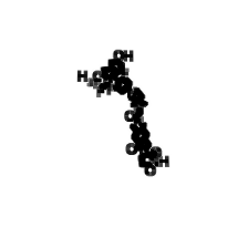 C[C@@H]1Cc2cc(O)ccc2[C@@H](c2c(F)cc(N3CCC4(CN(CC(=O)N5Cc6cc7c(cc6C5)C(=O)N(C5CCC(=O)NC5=O)C7)C4)C3)cc2F)N1CC(F)F